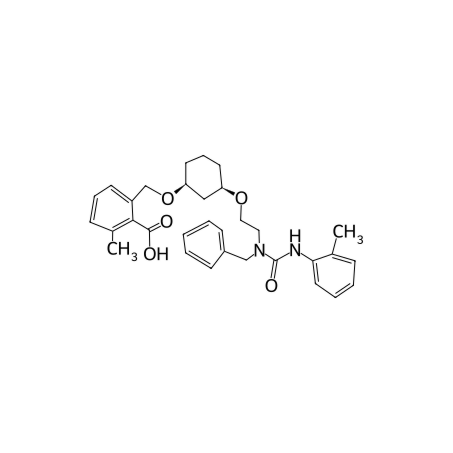 Cc1ccccc1NC(=O)N(CCO[C@@H]1CCC[C@H](OCc2cccc(C)c2C(=O)O)C1)Cc1ccccc1